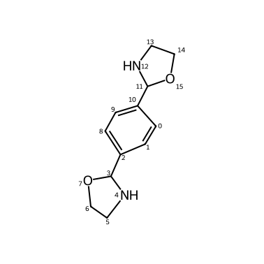 c1cc(C2NCCO2)ccc1C1NCCO1